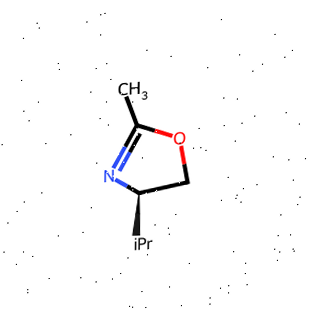 CC1=N[C@H](C(C)C)CO1